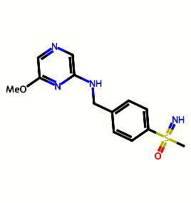 COc1cncc(NCc2ccc(S(C)(=N)=O)cc2)n1